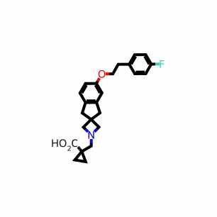 O=C(O)C1(CN2CC3(Cc4ccc(OCCc5ccc(F)cc5)cc4C3)C2)CC1